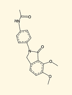 COc1ccc2c(c1OC)C(=O)N(c1ccc(NC(C)=O)cc1)C2